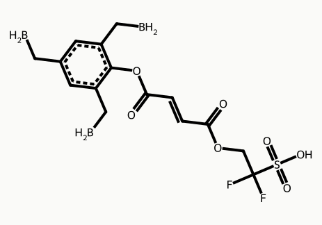 BCc1cc(CB)c(OC(=O)/C=C/C(=O)OCC(F)(F)S(=O)(=O)O)c(CB)c1